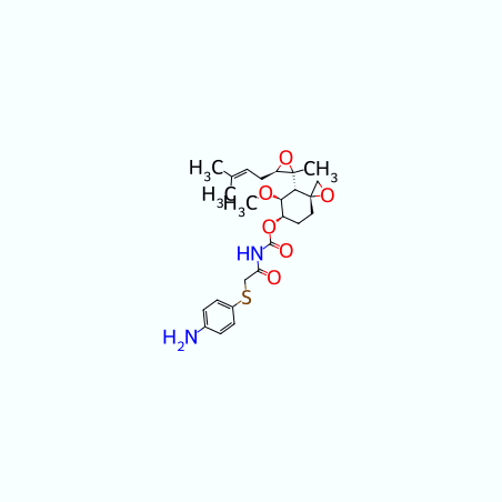 CO[C@H]1[C@H](C2(C)O[C@@H]2CC=C(C)C)[C@]2(CC[C@H]1OC(=O)NC(=O)CSc1ccc(N)cc1)CO2